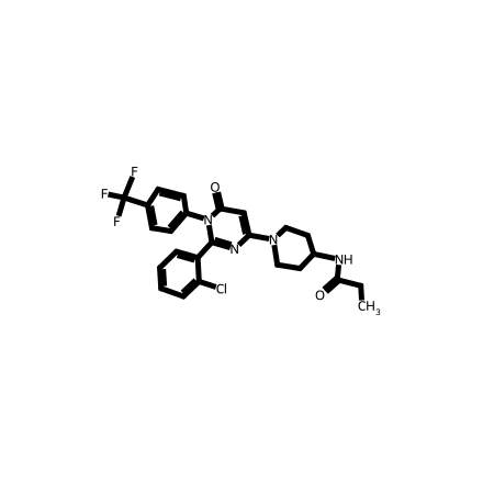 CCC(=O)NC1CCN(c2cc(=O)n(-c3ccc(C(F)(F)F)cc3)c(-c3ccccc3Cl)n2)CC1